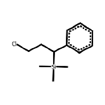 C[Si](C)(C)C(CCCl)c1ccccc1